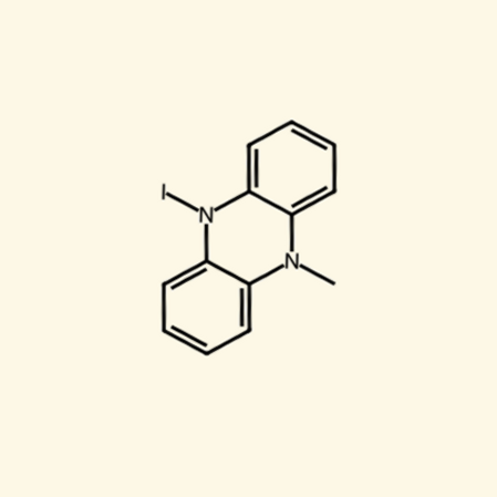 CN1c2ccccc2N(I)c2ccccc21